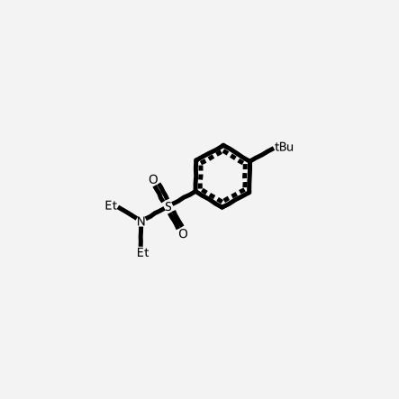 CCN(CC)S(=O)(=O)c1ccc(C(C)(C)C)cc1